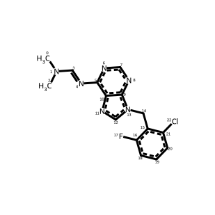 CN(C)C=Nc1ncnc2c1ncn2Cc1c(F)cccc1Cl